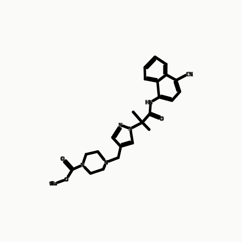 CC(C)(C)OC(=O)N1CCN(Cc2cnn(C(C)(C)C(=O)Nc3ccc(C#N)c4ccccc34)c2)CC1